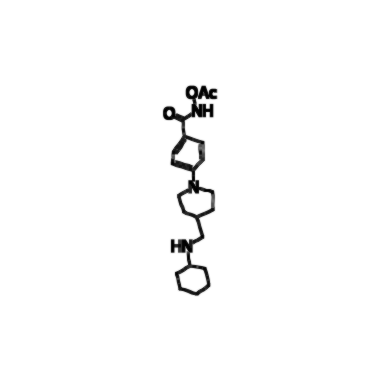 CC(=O)ONC(=O)c1ccc(N2CCC(CNC3CCCCC3)CC2)cc1